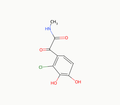 CNC(=O)C(=O)c1ccc(O)c(O)c1Cl